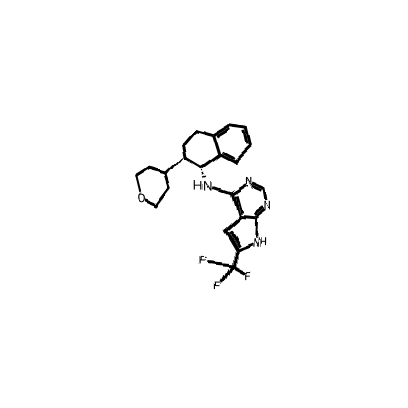 FC(F)(F)c1cc2c(N[C@H]3c4ccccc4CC[C@@H]3C3CCOCC3)ncnc2[nH]1